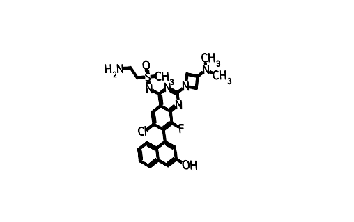 CN(C)C1CN(c2nc(N=S(C)(=O)CCN)c3cc(Cl)c(-c4cc(O)cc5ccccc45)c(F)c3n2)C1